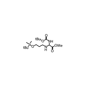 COC(=O)C(NCCCO[Si](C)(C)C(C)(C)C)NC(=O)OC(C)(C)C